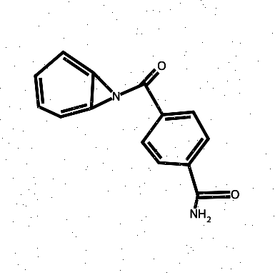 NC(=O)c1ccc(C(=O)N2c3ccccc32)cc1